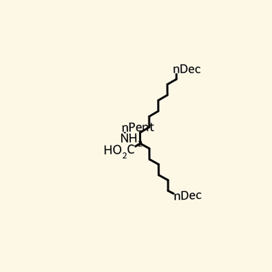 CCCCCCCCCCCCCCCCCCC(CCCCCCCCCCCCCCCC)C(=O)O.CCCCCN